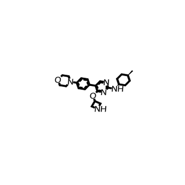 C[C@H]1CC[C@H](Nc2ncc(-c3ccc(N4CCOCC4)cc3)c(OC3CNC3)n2)CC1